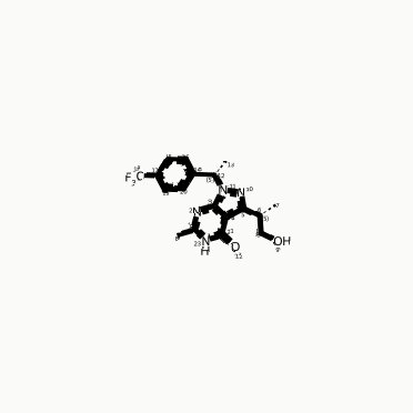 Cc1nc2c(c([C@H](C)CO)nn2[C@@H](C)c2ccc(C(F)(F)F)cc2)c(=O)[nH]1